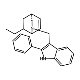 CCC1CC2C=CC1N(Cc1c(-c3ccccc3)[nH]c3ccccc13)C2